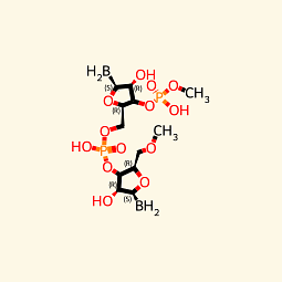 B[C@@H]1O[C@H](COP(=O)(O)OC2[C@@H](COC)O[C@@H](B)[C@H]2O)C(OP(=O)(O)OC)[C@@H]1O